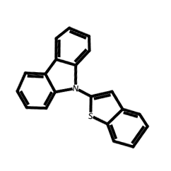 c1ccc2sc(-n3c4ccccc4c4ccccc43)cc2c1